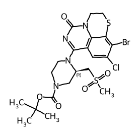 CC(C)(C)OC(=O)N1CCN(c2nc(=O)n3c4c(c(Br)c(Cl)cc24)SCC3)[C@@H](CS(C)(=O)=O)C1